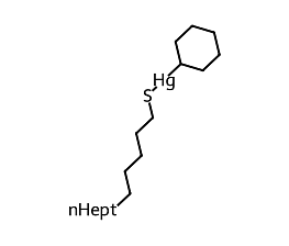 CCCCCCCCCCCC[S][Hg][CH]1CCCCC1